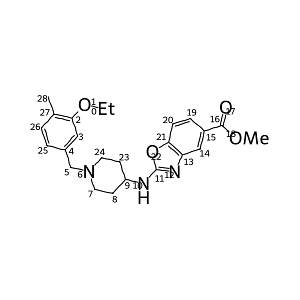 CCOc1cc(CN2CCC(Nc3nc4cc(C(=O)OC)ccc4o3)CC2)ccc1C